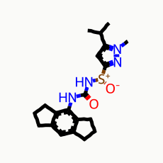 CC(C)c1cc([S+]([O-])NC(=O)Nc2c3c(cc4c2CCC4)CCC3)nn1C